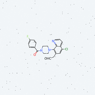 O=CCc1cc(Cl)c2cccnc2c1N1CCN(C(=O)c2ccc(F)cc2)CC1